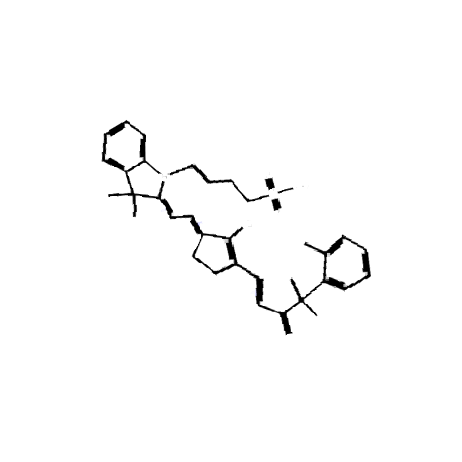 C=C(/C=C/C1=C(Cl)C(=C/C=C2\N(CCCCS(=O)(=O)O)c3ccccc3C2(C)C)/CC1)C(C)(C)c1ccccc1C